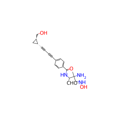 CC(N)(CNO)C(C=O)NC(=O)c1ccc(C#CC#C[C@@H]2C[C@H]2CO)cc1